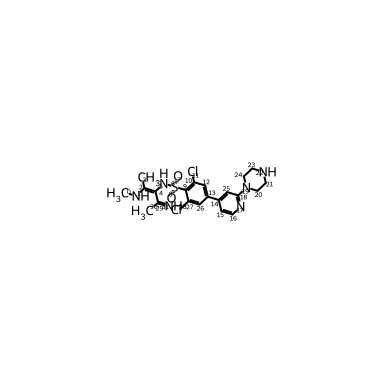 CN/C(C)=C(/NS(=O)(=O)c1c(Cl)cc(-c2ccnc(N3CCNCC3)c2)cc1Cl)C(C)=N